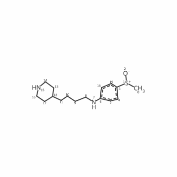 C[S+]([O-])c1ccc(NCCCCC2CCNCC2)cc1